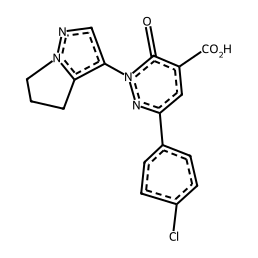 O=C(O)c1cc(-c2ccc(Cl)cc2)nn(-c2cnn3c2CCC3)c1=O